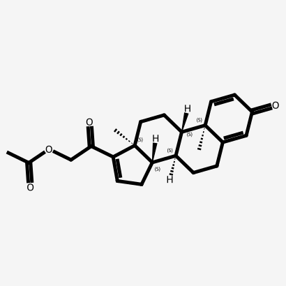 CC(=O)OCC(=O)C1=CC[C@H]2[C@@H]3CCC4=CC(=O)C=C[C@]4(C)[C@H]3CC[C@]12C